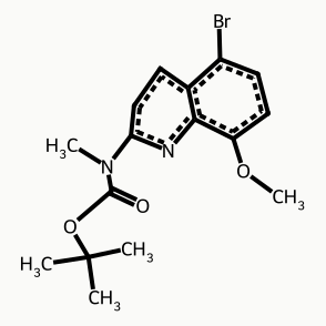 COc1ccc(Br)c2ccc(N(C)C(=O)OC(C)(C)C)nc12